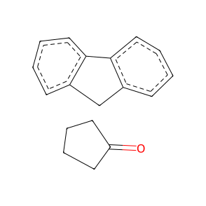 O=C1CCCC1.c1ccc2c(c1)Cc1ccccc1-2